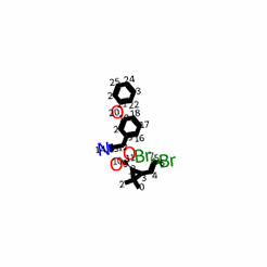 CC1(C)C(C=C(Br)Br)[C@H]1C(=O)OC(C#N)c1cccc(Oc2ccccc2)c1